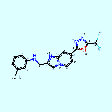 Cc1cccc(NCc2cn3ccc(-c4nnc(C(F)F)o4)cc3n2)c1